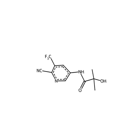 CC(C)(O)C(=O)Nc1cnc(C#N)c(C(F)(F)F)c1